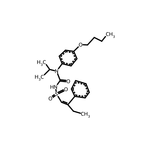 CCCCOc1ccc(N(C(=O)NS(=O)(=O)C=C(CC)c2ccccc2)C(C)C)cc1